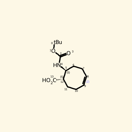 CC(C)(C)OC(=O)N[C@H]1CC/C=C\CC[C@@H]1C(=O)O